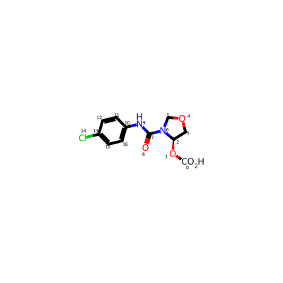 O=C(O)O[C@@H]1COCN1C(=O)Nc1ccc(Cl)cc1